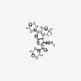 CC1(C)Cc2c(c(N3CCOCC3)nc3sc(C(=O)N4CCOCC4)c(N)c23)CO1